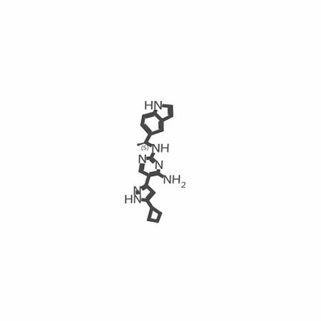 C[C@H](Nc1ncc(-c2cc(C3CCC3)[nH]n2)c(N)n1)c1ccc2[nH]ccc2c1